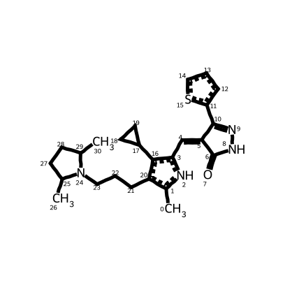 Cc1[nH]c(C=C2C(=O)NN=C2c2cccs2)c(C2CC2)c1CCCN1C(C)CCC1C